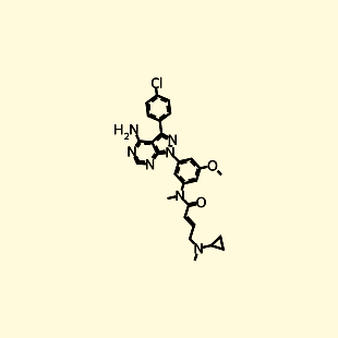 COc1cc(N(C)C(=O)/C=C/CN(C)C2CC2)cc(-n2nc(-c3ccc(Cl)cc3)c3c(N)ncnc32)c1